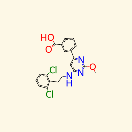 COc1nc(NCCc2c(Cl)cccc2Cl)cc(-c2cccc(C(=O)O)c2)n1